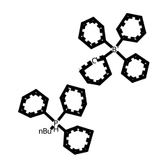 CCCC[PH](c1ccccc1)(c1ccccc1)c1ccccc1.c1ccc([B-](c2ccccc2)(c2ccccc2)c2ccccc2)cc1